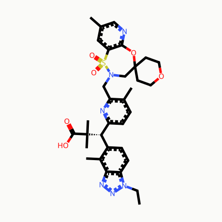 CCn1nnc2c(C)c([C@@H](c3ccc(C)c(CN4CC5(CCOCC5)Oc5ncc(C)cc5S4(=O)=O)n3)C(C)(C)C(=O)O)ccc21